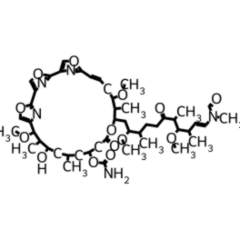 COC(CC1OC(=O)CC(OC(N)=O)CC(C)CC(O)C(C)C(OC)c2coc(n2)-c2coc(n2)-c2coc(n2)/C=C/CC(OC)C1C)C(C)CCC(=O)C(C)C(OC)C(C)/C=C/N(C)C=O